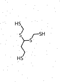 SCCC(SCS)SCS